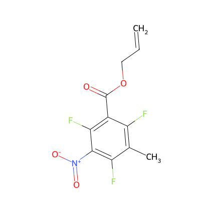 C=CCOC(=O)c1c(F)c(C)c(F)c([N+](=O)[O-])c1F